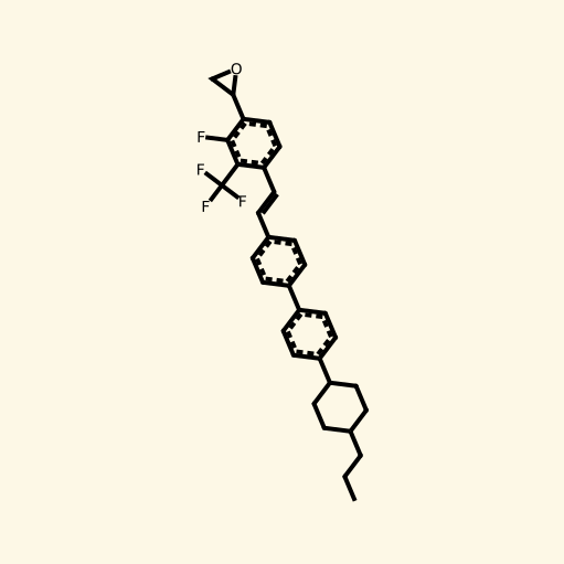 CCCC1CCC(c2ccc(-c3ccc(/C=C/c4ccc(C5CO5)c(F)c4C(F)(F)F)cc3)cc2)CC1